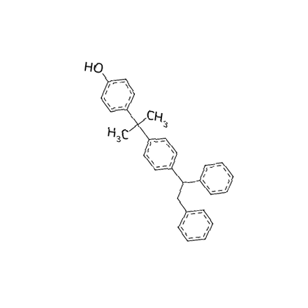 CC(C)(c1ccc(O)cc1)c1ccc(C(Cc2ccccc2)c2ccccc2)cc1